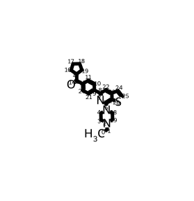 CCN1CCN(c2nc(-c3ccc(C(=O)C4CCCC4)cc3)cc3ccsc23)CC1